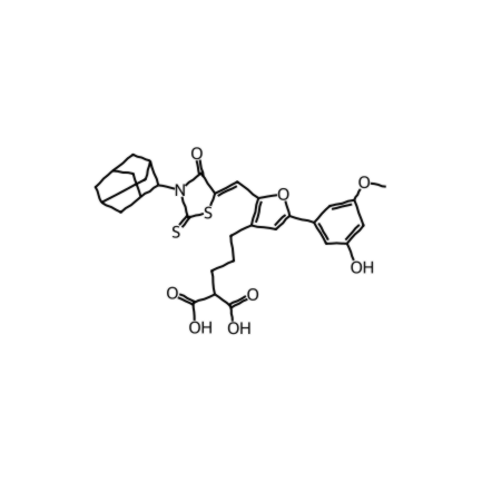 COc1cc(O)cc(-c2cc(CCCC(C(=O)O)C(=O)O)c(C=C3SC(=S)N(C4C5CC6CC(C5)CC4C6)C3=O)o2)c1